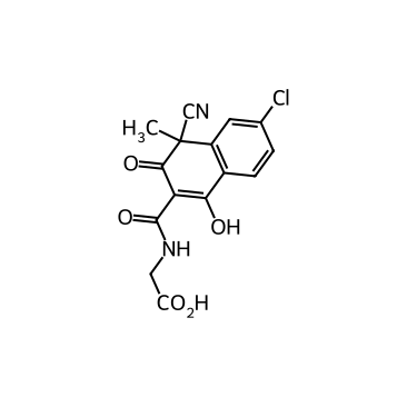 CC1(C#N)C(=O)C(C(=O)NCC(=O)O)=C(O)c2ccc(Cl)cc21